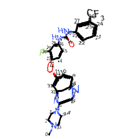 CN1CCN(c2cnc3ccc(Oc4ccc(NC(=O)Nc5cccc(C(F)(F)F)c5)cc4F)cc3n2)CC1